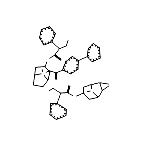 CCN1C2CC(OC(=O)C(CO)c3ccccc3)CC1C1OC12.C[N+]1(CC(=O)c2ccc(-c3ccccc3)cc2)C2CCC1CC(OC(=O)C(CO)c1ccccc1)C2